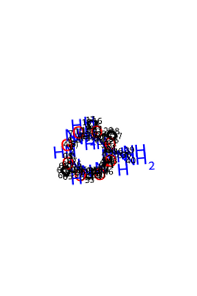 C[C@@H]1NC(=O)[C@H](CN)NC(=O)[C@H](Cc2ccccc2)NC(=O)[C@@H](Cc2ccccc2)NC(=O)[C@H](CCCNC(=N)N)NC(=O)[C@@H]2CCCN2C(=O)[C@H]2CCCN2C(=O)[C@H](Cc2ccccc2)NC1=O